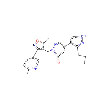 CCCc1n[nH]cc1-c1cnn(Cc2c(-c3ccc(C)nc3)noc2C)c(=O)c1